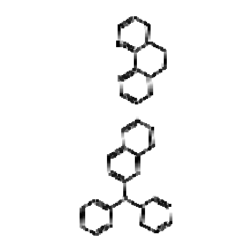 c1ccc(P(c2ccccc2)c2ccc3cc(-c4cnc5c(ccc6cccnc65)c4)ccc3c2)cc1